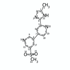 Cc1cnc(-c2cc(-c3cncc(S(C)(=O)=O)c3)ccn2)[nH]1